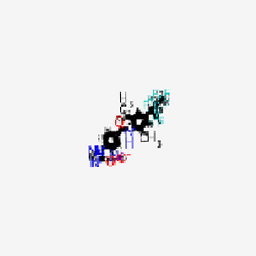 CCc1cc(C(F)(C(F)(F)F)C(F)(F)C(F)(F)F)cc(C)c1NC(=O)c1ccc(-n2cncn2)c([N+](=O)[O-])c1